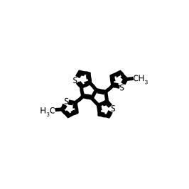 Cc1ccc(C2=C3C(=C(c4ccc(C)s4)c4sccc43)c3ccsc32)s1